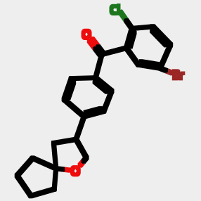 O=C(c1ccc(C2COC3(CCCC3)C2)cc1)c1cc(Br)ccc1Cl